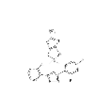 C[C@]1(COc2ccccc2-n2cc(-c3ccc(F)cc3F)nn2)Cn2cc([N+](=O)[O-])nc2O1